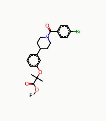 CC(C)OC(=O)C(C)(C)Oc1cccc(C2CCN(C(=O)c3ccc(Br)cc3)CC2)c1